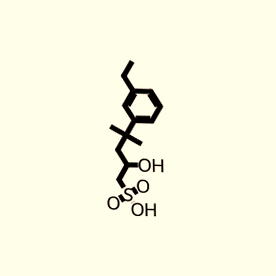 CCc1cccc(C(C)(C)CC(O)CS(=O)(=O)O)c1